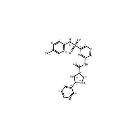 O=C(Nc1cccc(S(=O)(=O)Nc2ccc(Br)cc2)c1)C1CNC(c2ccccc2)N1